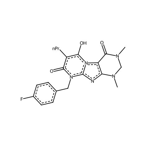 CCCc1c(O)n2c3c(nc2n(Cc2ccc(F)cc2)c1=O)N(C)CN(C)C3=O